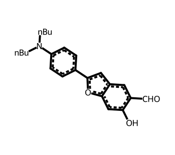 CCCCN(CCCC)c1ccc(-c2cc3cc(C=O)c(O)cc3o2)cc1